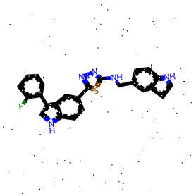 Fc1ccccc1-c1c[nH]c2ccc(-c3nnc(NCc4ccc5[nH]ccc5c4)s3)cc12